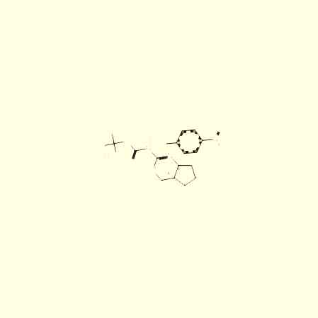 CC(C)(C)OC(=O)NC1=N[C@@]2(c3cc([N+](=O)[O-])ccc3F)CCC[C@H]2CS1